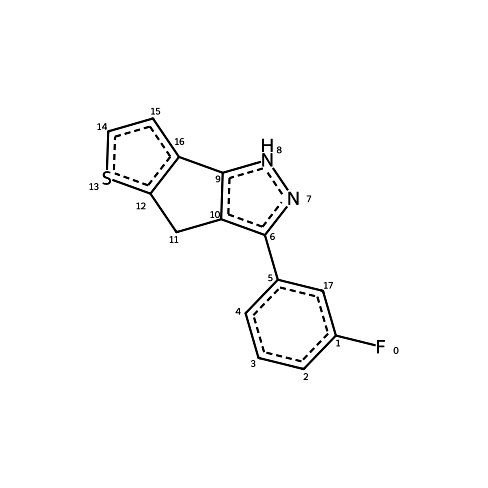 Fc1cccc(-c2n[nH]c3c2Cc2sccc2-3)c1